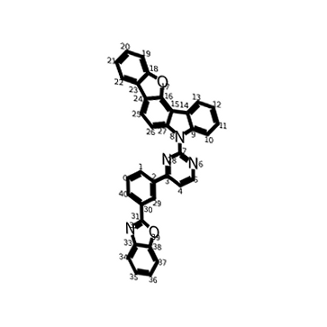 c1cc(-c2ccnc(-n3c4ccccc4c4c5oc6ccccc6c5ccc43)n2)cc(-c2nc3ccccc3o2)c1